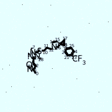 Cc1cc(C2=NN(C)C(SCCCN3CC[C@]4(C[C@@H]4c4ccc(C(F)(F)F)cc4)C3)N2C)on1